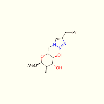 CO[C@H]1O[C@H](Cn2cc(CC(C)C)nn2)[C@@H](O)[C@H](O)[C@H]1C